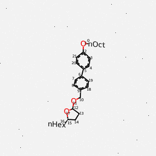 CCCCCCCCOc1ccc(-c2ccc(COC3CC[C@@H](CCCCCC)O3)cc2)cc1